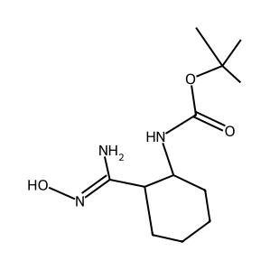 CC(C)(C)OC(=O)NC1CCCCC1C(N)=NO